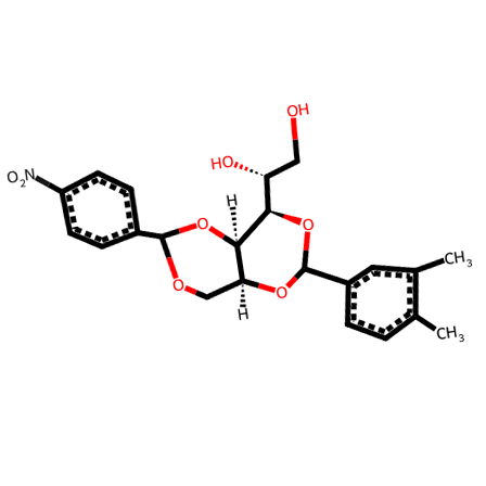 Cc1ccc(C2O[C@H]([C@H](O)CO)[C@@H]3OC(c4ccc([N+](=O)[O-])cc4)OC[C@@H]3O2)cc1C